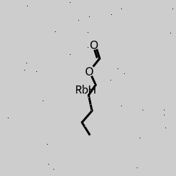 CCCCCOC=O.[RbH]